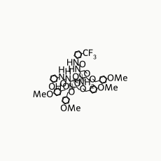 COc1ccc(COCC2O[C@@H](O[C@@H]3C(NC(=O)Nc4cccc(C(F)(F)F)c4)COC(COCc4ccc(OC)cc4)[C@@H]3N)C(NC(=O)Nc3cccc(O)c3)[C@@H](OCc3ccc(OC)cc3)[C@@H]2OCc2ccc(OC)cc2)cc1